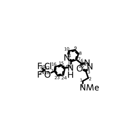 CNCCc1nnc(-c2cccnc2Nc2ccc(OC(F)(F)Cl)cc2)o1